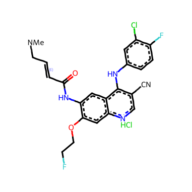 CNC/C=C/C(=O)Nc1cc2c(Nc3ccc(F)c(Cl)c3)c(C#N)cnc2cc1OCCF.Cl